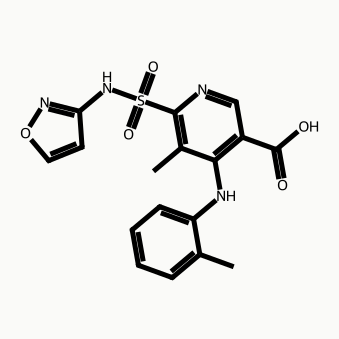 Cc1ccccc1Nc1c(C(=O)O)cnc(S(=O)(=O)Nc2ccon2)c1C